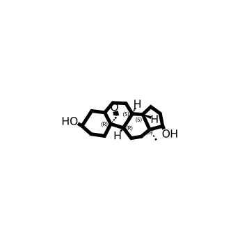 C[C@]12CC[C@@H]3[C@@H](CCC4CC(O)CC[C@@]43C=O)[C@@H]1CCC2O